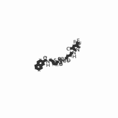 O=C(CCCNc1ncc(C(F)(F)F)cc1Cl)NNS(=O)(=O)c1ccc(CNC(=O)c2ccc3ccccc3c2)s1